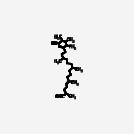 C/C(=C\CCC(C)C=O)CCCC(C)CCCC(C)CCC1=CC(N=O)C(C)C(C)C1P